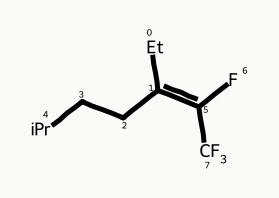 CC/C(CCC(C)C)=C(\F)C(F)(F)F